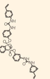 C=Cc1ccc(NC(=O)Nc2cccc(OS(=O)(=O)c3ccccc3S(=O)(=O)Oc3cccc(NC(=O)Nc4ccc(C=C)cc4)c3)c2)cc1